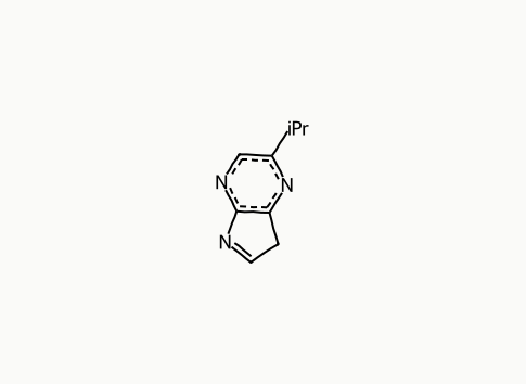 CC(C)c1cnc2c(n1)CC=N2